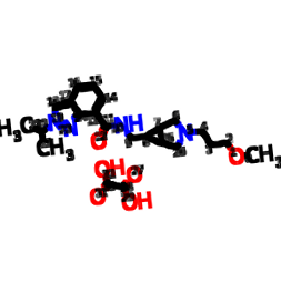 COCCCN1CC2C(CNC(=O)c3cccc4cn(C(C)C)nc34)C2C1.O=C(O)C(=O)O